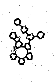 O=S1(=O)c2ccccc2-c2ccccc2-c2ccccc2-c2ccc(-c3cc(-c4ccccc4)nc(-c4cnc(-c5ccccc5)nc4)n3)cc2-c2cc3oc4ccccc4c3cc21